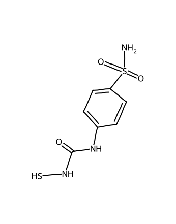 NS(=O)(=O)c1ccc(NC(=O)NS)cc1